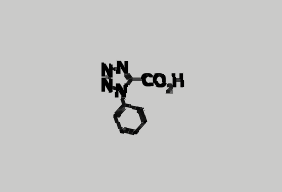 O=C(O)c1nnnn1-c1ccccc1